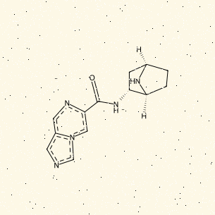 O=C(N[C@@H]1C[C@H]2CC[C@@H]1N2)c1cn2cncc2cn1